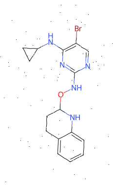 Brc1cnc(NOC2CCc3ccccc3N2)nc1NC1CC1